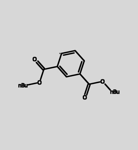 CCCCOC(=O)c1[c]ccc(C(=O)OCCCC)c1